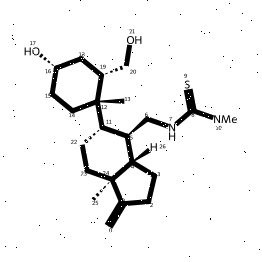 C=C1CC[C@H]2[C@H](CNC(=S)NC)[C@@H]([C@]3(C)CC[C@H](O)C[C@@H]3CO)CC[C@]12C